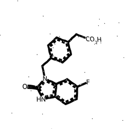 O=C(O)Cc1ccc(Cn2c(=O)[nH]c3ccc(F)cc32)cc1